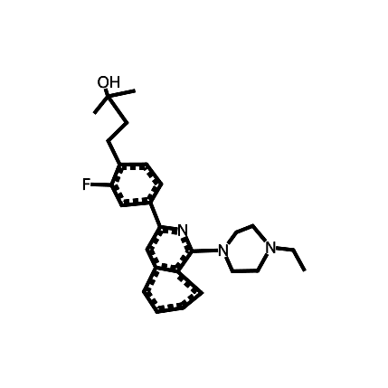 CCN1CCN(c2nc(-c3ccc(CCC(C)(C)O)c(F)c3)cc3ccccc23)CC1